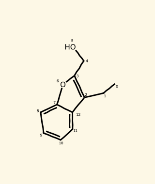 CCc1c(CO)oc2ccccc12